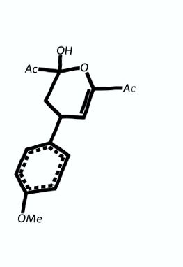 COc1ccc(C2C=C(C(C)=O)OC(O)(C(C)=O)C2)cc1